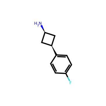 N[C@H]1C[C@@H](c2ccc(F)cc2)C1